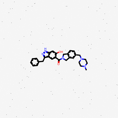 CN1CCN(Cc2ccc3c(c2)CN(C(=O)c2cc4c(Cc5ccccc5)n[nH]c4cc2O)C3)CC1